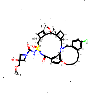 COCC1(O)CN(C(=O)NS2(=O)=NC(=O)c3ccc4c(c3)N(Cc3ccc(Cl)cc3CCCCO4)C[C@@H]3CC[C@H]3[C@@H](OC)C3=CC[C@@H]3C2)C1